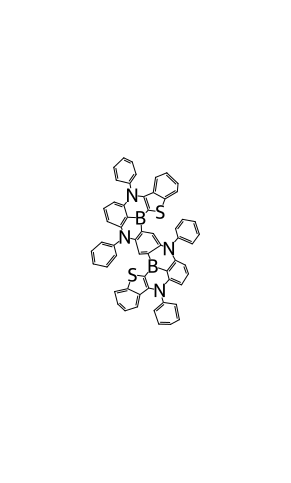 c1ccc(N2c3cc4c(cc3B3c5sc6ccccc6c5N(c5ccccc5)c5cccc2c53)N(c2ccccc2)c2cccc3c2B4c2sc4ccccc4c2N3c2ccccc2)cc1